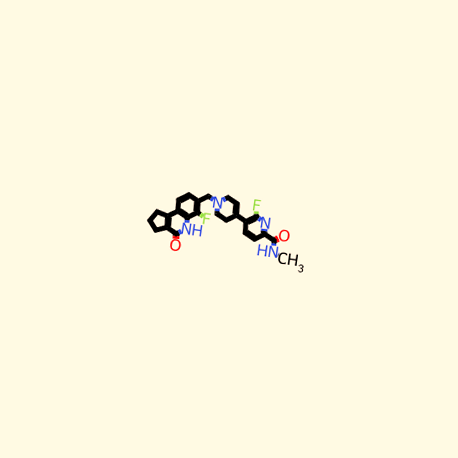 CNC(=O)c1ccc(C2=CCN(Cc3ccc4c5c(c(=O)[nH]c4c3F)CCC5)CC2)c(F)n1